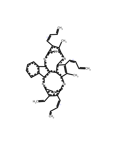 C=C/C=C\C1=C(C)c2nc3[nH]c(nc4c5c(nc6[nH]c(nc1c25)c(C)c6/C=C\C=C)-c1ccccc1-4)c(C=C)c3/C=C\C=C